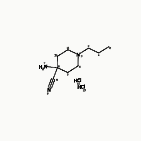 CCCN1CCC(N)(C#N)CC1.Cl.Cl